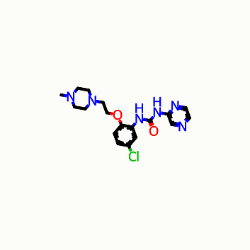 CN1CCN(CCOc2ccc(Cl)cc2NC(=O)Nc2cnccn2)CC1